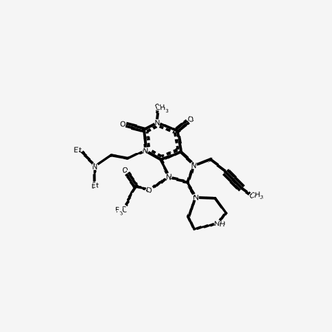 CC#CCN1c2c(n(CCN(CC)CC)c(=O)n(C)c2=O)N(OC(=O)C(F)(F)F)C1N1CCNCC1